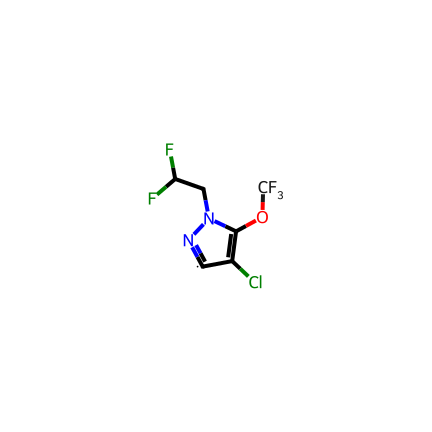 FC(F)Cn1n[c]c(Cl)c1OC(F)(F)F